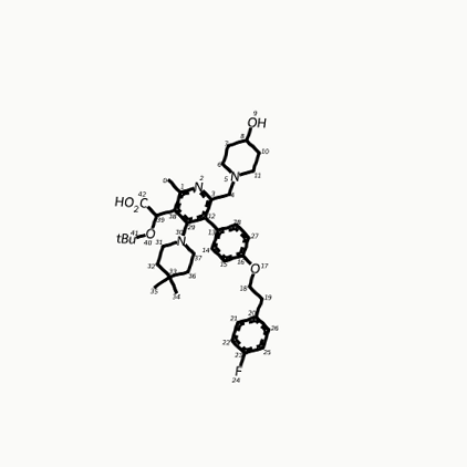 Cc1nc(CN2CCC(O)CC2)c(-c2ccc(OCCc3ccc(F)cc3)cc2)c(N2CCC(C)(C)CC2)c1C(OC(C)(C)C)C(=O)O